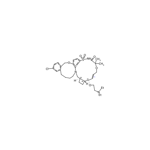 CCN(CC)CCO[C@H]1/C=C/COC(C)(C)C(=O)NS(=O)(=O)c2ccc3c(c2)N(CCCCc2cc(Cl)ccc2CO3)C[C@@H]2CC[C@H]21